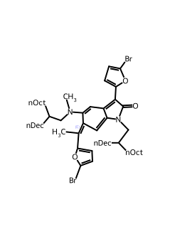 CCCCCCCCCCC(CCCCCCCC)CN(C)c1cc2c(c/c1=C(/C)c1ccc(Br)o1)N(CC(CCCCCCCC)CCCCCCCCCC)C(=O)C=2c1ccc(Br)o1